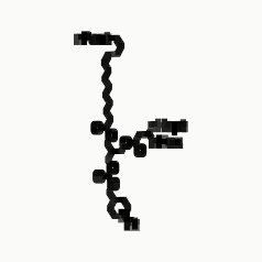 CCCCC/C=C\C/C=C\CCCCCCCC(=O)OCC(COC(=O)/C=C(\CCCCCC)CCCCCCC)COC(=O)OCC1CCN(CC)CC1